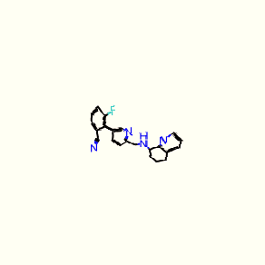 N#Cc1cccc(F)c1-c1ccc(CNC2CCCc3cccnc32)nc1